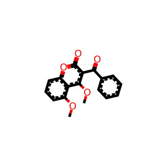 COc1cccc2oc(=O)c(C(=O)c3ccccc3)c(OC)c12